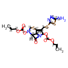 C=CCOC(=O)OC1C(CSc2nnc(N)s2)=C2SCN(OC(=O)OCC=C)[C@@H]3C(=O)N1[C@H]23